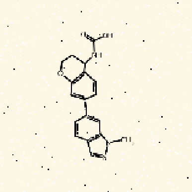 Cn1ncc2ccc(-c3ccc4c(c3)OCCC4NC(=O)O)cc21